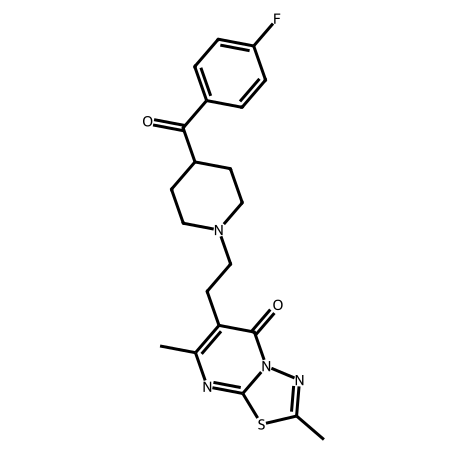 Cc1nn2c(=O)c(CCN3CCC(C(=O)c4ccc(F)cc4)CC3)c(C)nc2s1